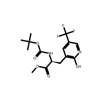 COC(=O)[C@H](Cc1cc(C(F)(F)F)cnc1O)NC(=O)OC(C)(C)C